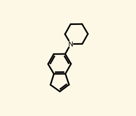 C1=Cc2cc(N3CCCCC3)ccc2C1